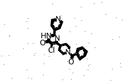 O=C(c1ccccc1)N1CCC(c2nc(-c3ccncc3)[nH]c(=O)c2Cl)CC1